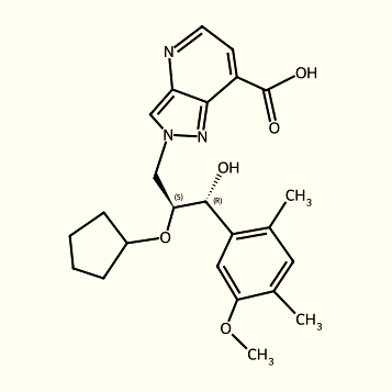 COc1cc([C@@H](O)[C@H](Cn2cc3nccc(C(=O)O)c3n2)OC2CCCC2)c(C)cc1C